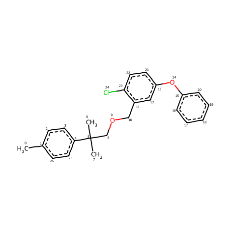 Cc1ccc(C(C)(C)COCc2cc(Oc3ccccc3)ccc2Cl)cc1